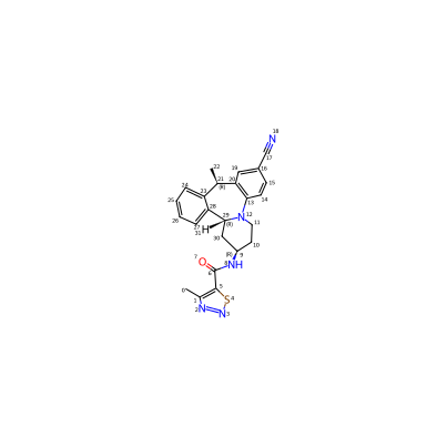 Cc1nnsc1C(=O)N[C@@H]1CCN2c3ccc(C#N)cc3[C@H](C)c3ccccc3[C@H]2C1